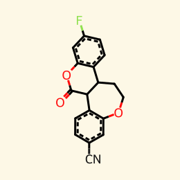 N#Cc1ccc2c(c1)OCCC1c3ccc(F)cc3OC(=O)C21